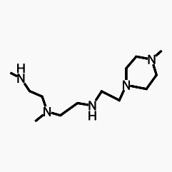 CNCCN(C)CCNCCN1CCN(C)CC1